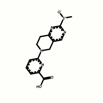 C[S+]([O-])c1ncc2c(n1)CCN(c1cccc(C(=O)O)n1)C2